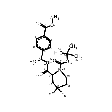 COC(=O)c1ccc([C@H](C)NC(=O)C2CC(F)(F)CCN2C(=O)OC(C)(C)C)cc1